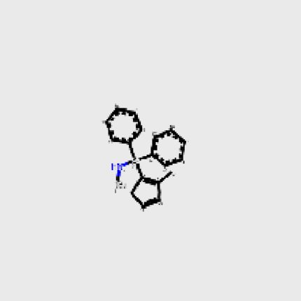 CC1=C([Si](NC(C)(C)C)(c2ccccc2)c2ccccc2)CC=C1